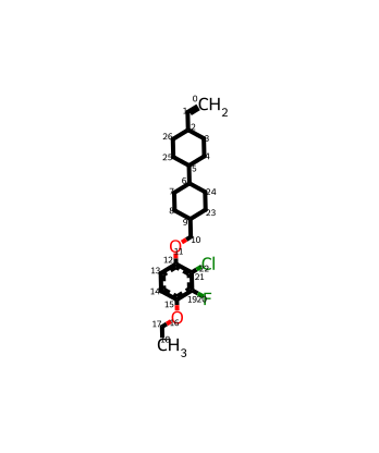 C=CC1CCC(C2CCC(COc3ccc(OCC)c(F)c3Cl)CC2)CC1